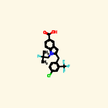 BC(B)(F)Cn1c(Cc2ccc(Cl)cc2C(F)(F)F)cc2cc(C(=O)O)ccc21